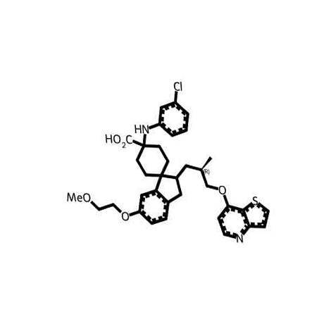 COCCOc1ccc2c(c1)C1(CCC(Nc3cccc(Cl)c3)(C(=O)O)CC1)C(C[C@@H](C)COc1ccnc3ccsc13)C2